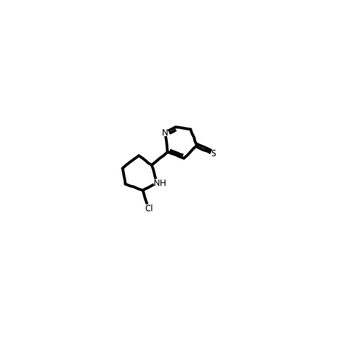 S=C1C=C(C2CCCC(Cl)N2)N=CC1